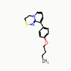 CCCCOc1ccc(C2=CC=CN3CCSN=C23)cc1